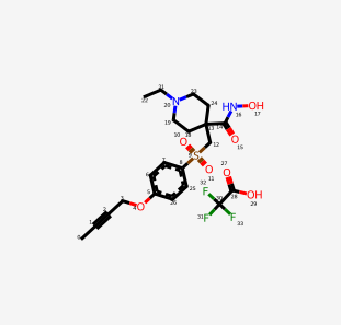 CC#CCOc1ccc(S(=O)(=O)CC2(C(=O)NO)CCN(CC)CC2)cc1.O=C(O)C(F)(F)F